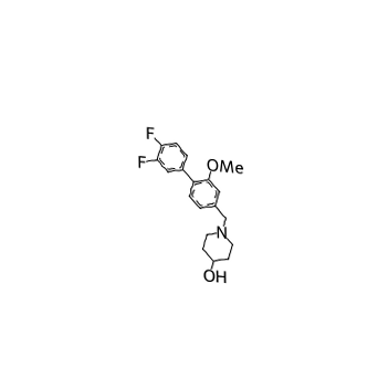 COc1cc(CN2CCC(O)CC2)ccc1-c1ccc(F)c(F)c1